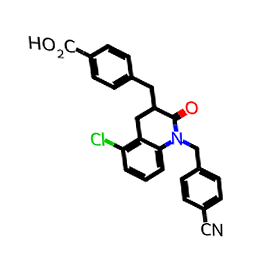 N#Cc1ccc(CN2C(=O)C(Cc3ccc(C(=O)O)cc3)Cc3c(Cl)cccc32)cc1